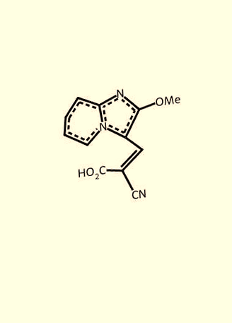 COc1nc2ccccn2c1C=C(C#N)C(=O)O